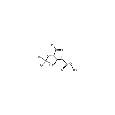 CCCC(=O)C(O[Si](C)(C)C(C)(C)C)[C@@H](NC(=O)OC(C)(C)C)C(C)C